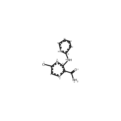 NC(=O)c1ncc(Cl)nc1Nc1ccccn1